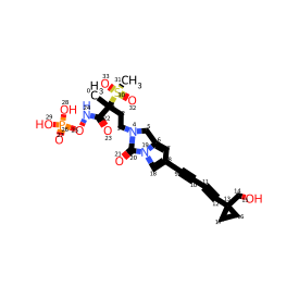 CC(CCN1Cc2cc(C#CC#CC3(CO)CC3)cn2C1=O)(C(=O)NOP(=O)(O)O)S(C)(=O)=O